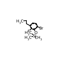 CCCc1ccc(Br)c(O[Si](C)(C)C)c1F